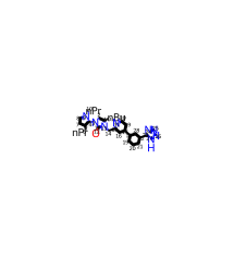 CCCCc1cn(-c2c(CCC)ccn2CCC)c(=O)n1Cc1cc(-c2cccc(-c3nnn[nH]3)c2)ccn1